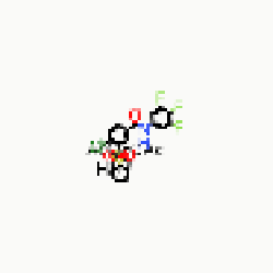 CC(=O)OC[C@]1(OC(C)=O)CC2CC[C@H](C1)C2S(=O)(=O)c1cc(C(=O)Nc2cc(F)c(F)c(F)c2)ccc1Cl